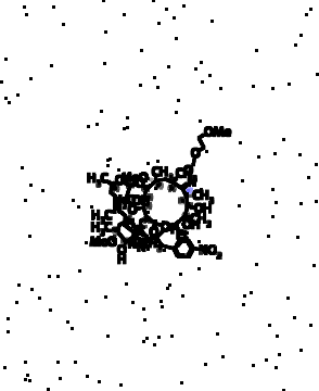 CC[C@H]1OC(=O)[C@H](C)[C@@H](O[C@H]2C[C@@](C)(OC)[C@@H](O)[C@H](C)O2)[C@H](C)[C@@H](O[C@@H]2O[C@H](C)C[C@H](N(C)CCc3cn(C(CF)Cc4ccc([N+](=O)[O-])cc4)nn3)[C@H]2O)[C@](C)(OC)C[C@@H](C)/C(=N\OCOCCOC)[C@H](C)[C@@H](O)[C@]1(C)O